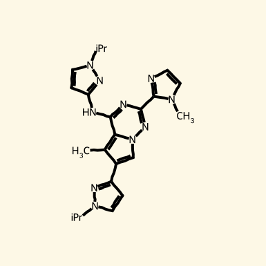 Cc1c(-c2ccn(C(C)C)n2)cn2nc(-c3nccn3C)nc(Nc3ccn(C(C)C)n3)c12